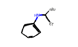 CCCCC(CC)NC1=CC=CCC1